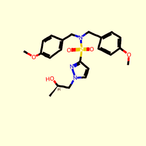 COc1ccc(CN(Cc2ccc(OC)cc2)S(=O)(=O)c2ccn(C[C@@H](C)O)n2)cc1